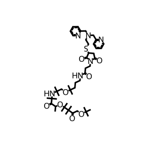 CC(OC(C)(C)C(C)(C)C(=O)COC(C)(C)C)C(=O)C(C)(C)NC(C)(C)COC(C)(C)CCCNC(=O)CCN1C(=O)CC(SCCN(Cc2ccccn2)Cc2ccccn2)C1=O